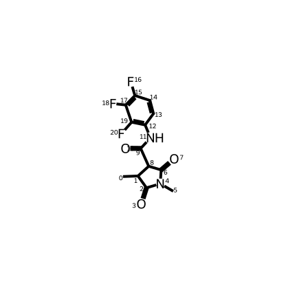 CC1C(=O)N(C)C(=O)C1C(=O)Nc1ccc(F)c(F)c1F